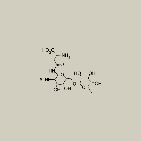 CC(=O)NC1C(NC(=O)CC(N)C(=O)O)OC(COC2OC(C)C(O)C(O)C2O)C(O)C1O